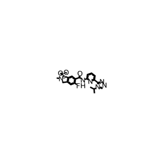 CC(C)n1cnnc1-c1cccc(NC(=O)c2cc3c(cc2F)CN(C)S3(=O)=O)n1